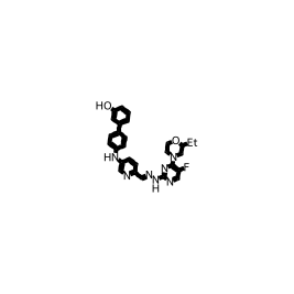 CCC1CN(c2nc(N/N=C/c3ccc(Nc4ccc(-c5cccc(O)c5)cc4)cn3)ncc2F)CCO1